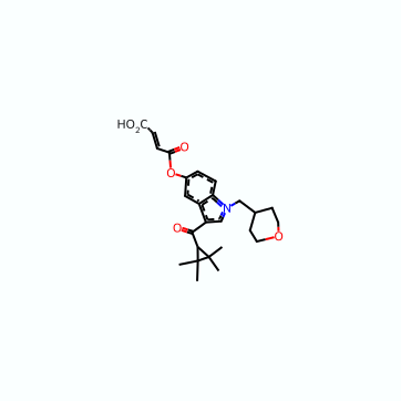 CC1(C)C(C(=O)c2cn(CC3CCOCC3)c3ccc(OC(=O)/C=C/C(=O)O)cc23)C1(C)C